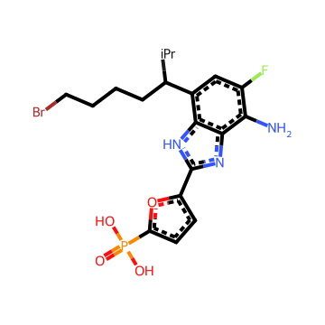 CC(C)C(CCCCBr)c1cc(F)c(N)c2nc(-c3ccc(P(=O)(O)O)o3)[nH]c12